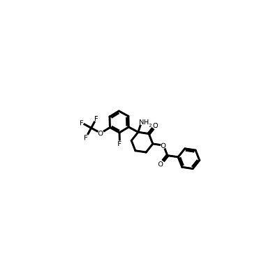 NC1(c2cccc(OC(F)(F)F)c2F)CCCC(OC(=O)c2ccccc2)C1=O